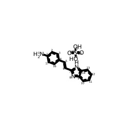 Nc1ccc(C=Cc2nc3ccccc3[nH]2)cc1.O=S(=O)(O)O